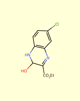 CCOC(=O)C1=Nc2cc(Cl)ccc2NC1O